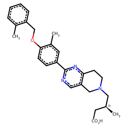 Cc1ccccc1COc1ccc(-c2ncc3c(n2)CCN(C[C@@H](C)CC(=O)O)C3)cc1C